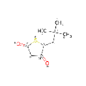 CC(C)(C)CC1SC(=O)CC1=O